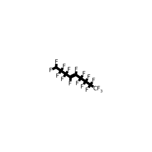 F[C](F)C(F)(F)C(F)(F)C(F)=C(F)C(F)(F)C(F)(F)C(F)(F)C(F)(F)F